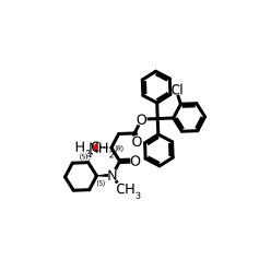 C[C@H](CC(=O)OC(c1ccccc1)(c1ccccc1)c1ccccc1Cl)C(=O)N(C)[C@H]1CCCC[C@@H]1N